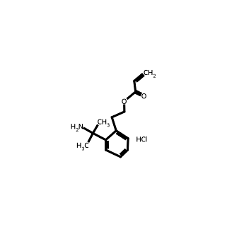 C=CC(=O)OCCc1ccccc1C(C)(C)N.Cl